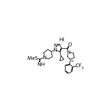 CSC(=N)N1CCC(n2ncc(C(=O)N3CC[C@@H](c4ccccc4C(F)(F)F)C3)c2C2CC2)CC1.I